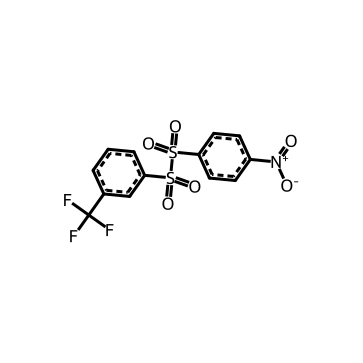 O=[N+]([O-])c1ccc(S(=O)(=O)S(=O)(=O)c2cccc(C(F)(F)F)c2)cc1